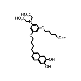 CCCCCCCCCCCCCCOc1cc(OCCCCc2ccc3cc(O)c(O)cc3c2)cc(N(CC(=O)O)CC(=O)O)c1